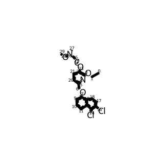 CCOc1nc(COc2cccc3c(Cl)c(Cl)ccc23)ccc1OCCN(C)OC